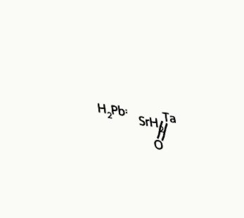 [O]=[Ta].[PbH2].[SrH2]